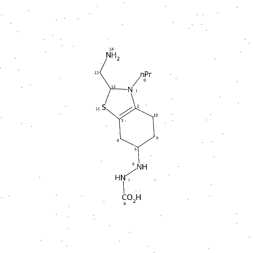 CCCN1C2=C(CC(NNC(=O)O)CC2)SC1CN